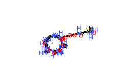 CC(C)[C@H]1NC(=O)[C@@H](Cc2c[nH]cn2)NC(=O)[C@@H](Cc2ccccc2)NC(=O)[C@@H](NC(=O)COCCOCCOCCNC(=O)CCCCC2SC[C@H]3NC(=O)N[C@@H]23)Cc2cn(nn2)CCCC[C@@H](C(N)=O)NC(=O)CNC(=O)[C@@H](Cc2c[nH]cn2)NC1=O